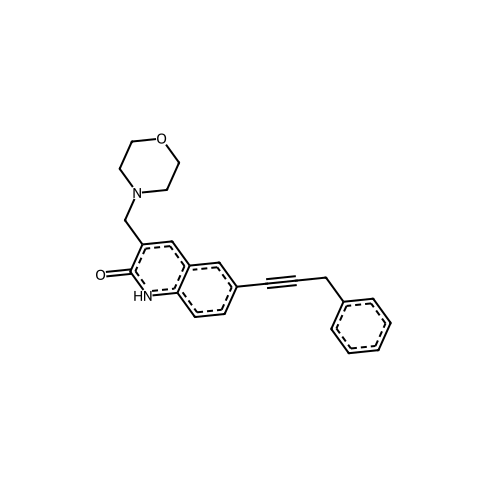 O=c1[nH]c2ccc(C#CCc3ccccc3)cc2cc1CN1CCOCC1